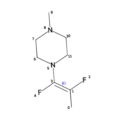 C/C(F)=C(\F)N1CCN(C)CC1